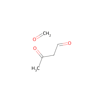 C=O.CC(=O)CC=O